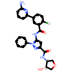 Nc1cccc(-c2ccc(Cl)c(C(=O)Nc3cc(C(=O)N[C@H]4COC[C@@H]4O)nn3-c3ccccc3)c2)n1